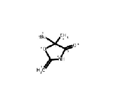 C=C1NC(=O)C(C)(C(C)(C)C)O1